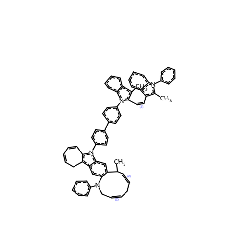 Cc1c(/C=C\c2c(C)n(-c3ccccc3)c3ccccc23)n(-c2ccc(-c3ccc(-n4c5c(c6cc7c(cc64)C(C)/C=C\C/C=C\CN7c4ccccc4)CC=CC=C5)cc3)cc2)c2ccccc12